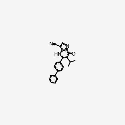 CC(C)c1c(-c2ccc(-c3ccccc3)cc2)[nH]c2c(C#N)cnn2c1=O